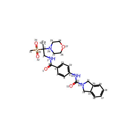 CCC(CNC(=O)c1ccc(NC(=O)N2Cc3ccccc3C2)cc1)(N1CCOCC1)S(C)(=O)=O